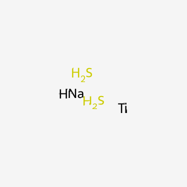 S.S.[NaH].[Ti]